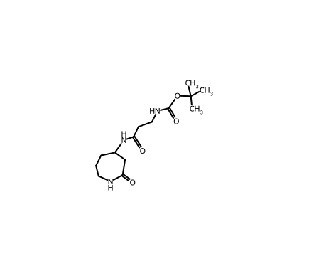 CC(C)(C)OC(=O)NCCC(=O)NC1CCCNC(=O)C1